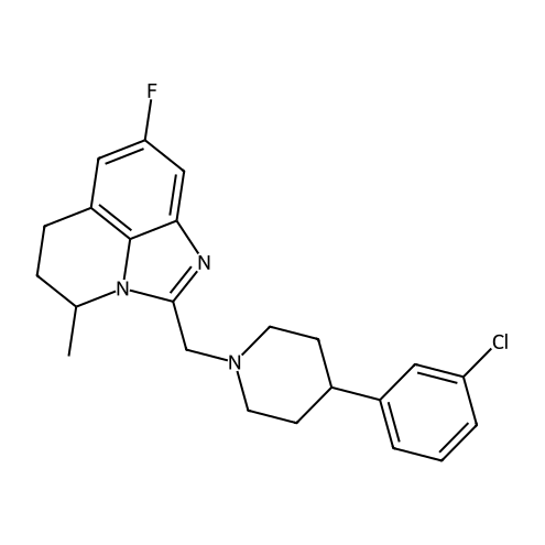 CC1CCc2cc(F)cc3nc(CN4CCC(c5cccc(Cl)c5)CC4)n1c23